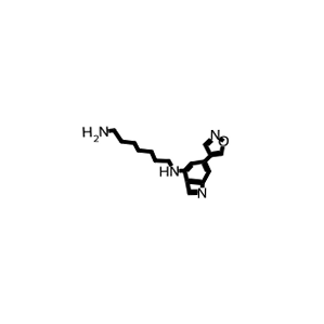 NCCCCCCCNc1cc(-c2cnoc2)cc2c1C=N2